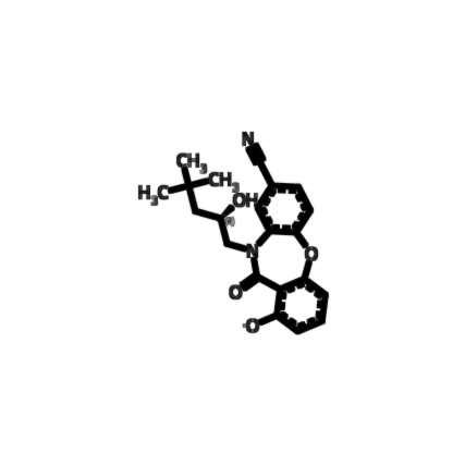 CC(C)(C)C[C@@H](O)CN1C(=O)c2c([O])cccc2Oc2ccc(C#N)cc21